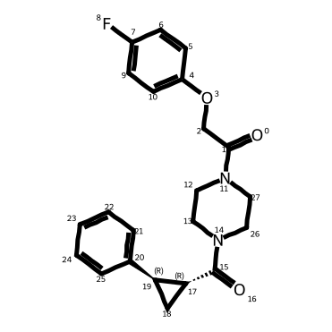 O=C(COc1ccc(F)cc1)N1CCN(C(=O)[C@@H]2C[C@H]2c2ccccc2)CC1